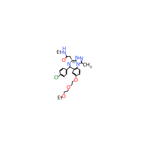 CCNC(=O)C[C@@H]1N=C(c2ccc(Cl)cc2)c2cc(OCCOCCOCC)ccc2-n2c(C)nnc21